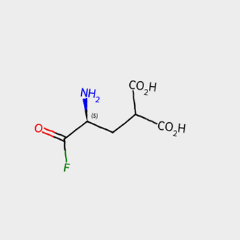 N[C@@H](CC(C(=O)O)C(=O)O)C(=O)F